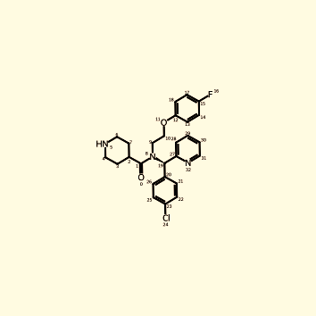 O=C(C1CCNCC1)N(CCOc1ccc(F)cc1)[C@H](c1ccc(Cl)cc1)c1ccccn1